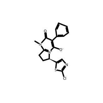 Cn1c2[n+](c([O-])c(-c3ccccc3)c1=O)[C@@H](c1cnc(Cl)s1)CC2